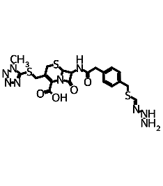 Cn1nnnc1SCC1=C(C(=O)O)N2C(=O)C(NC(=O)Cc3ccc(CSC=NNN)cc3)C2SC1